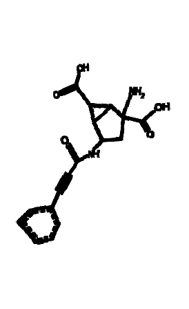 NC1(C(=O)O)CC(NC(=O)C#Cc2ccccc2)C2C(C(=O)O)C21